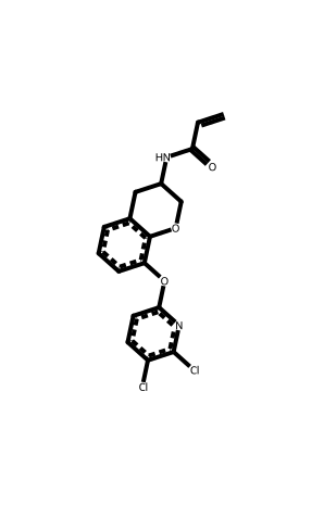 C=CC(=O)NC1COc2c(cccc2Oc2ccc(Cl)c(Cl)n2)C1